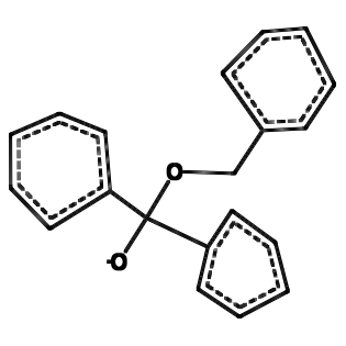 [O]C(OCc1ccccc1)(c1ccccc1)c1ccccc1